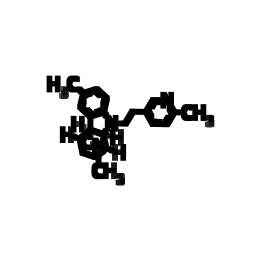 Cc1ccc2c(c1)[C@@H]1[C@H]3CC[C@@H]([C@@H]1N2CCc1ccc(C)nc1)N(C)C3